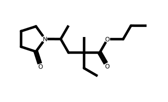 CCCOC(=O)C(C)(CC)CC(C)N1CCCC1=O